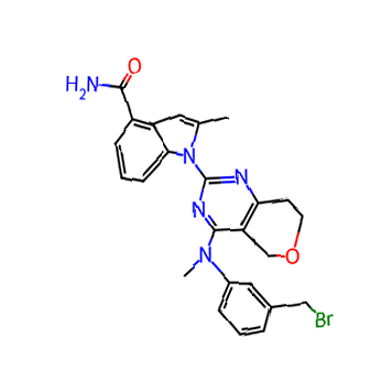 Cc1cc2c(C(N)=O)cccc2n1-c1nc2c(c(N(C)c3cccc(CBr)c3)n1)COCC2